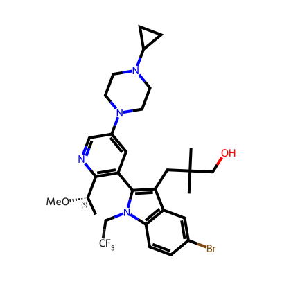 CO[C@@H](C)c1ncc(N2CCN(C3CC3)CC2)cc1-c1c(CC(C)(C)CO)c2cc(Br)ccc2n1CC(F)(F)F